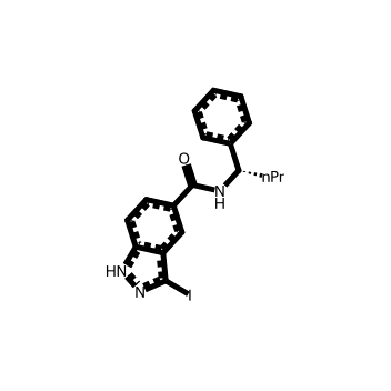 CCC[C@H](NC(=O)c1ccc2[nH]nc(I)c2c1)c1ccccc1